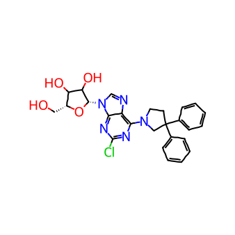 OC[C@H]1O[C@@H](n2cnc3c(N4CCC(c5ccccc5)(c5ccccc5)C4)nc(Cl)nc32)C(O)C1O